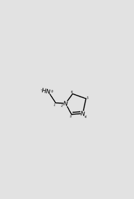 [NH]CN1C=NCC1